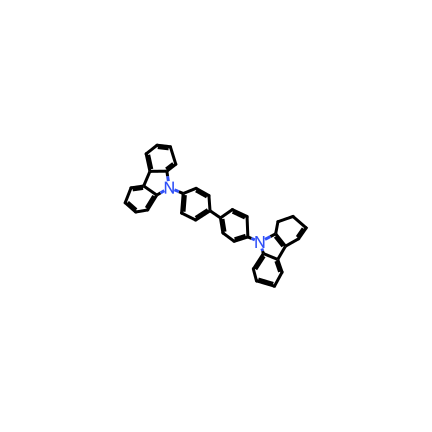 C1=Cc2c(n(-c3ccc(-c4ccc(-n5c6ccccc6c6ccccc65)cc4)cc3)c3ccccc23)CC1